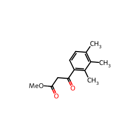 COC(=O)CC(=O)c1ccc(C)c(C)c1C